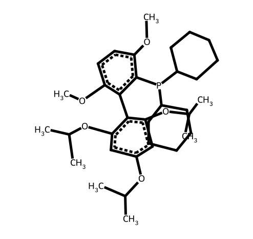 COc1ccc(OC)c(P(C2CCCCC2)C2CCCCC2)c1-c1c(OC(C)C)cc(OC(C)C)cc1OC(C)C